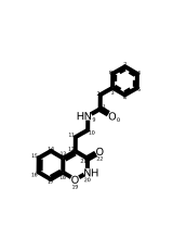 O=C(Cc1ccccc1)NCCC1=C2CC=CC=C2ONC1=O